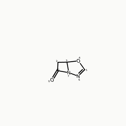 O=C1CC2OC=NN12